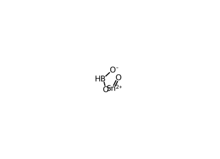 [O-]B[O-].[O]=[Sn+2]